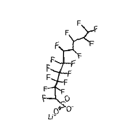 O=S(=O)([O-])C(F)C(F)(F)C(F)(F)C(F)(F)C(F)(F)C(F)C(F)C(F)C(F)C(F)F.[Li+]